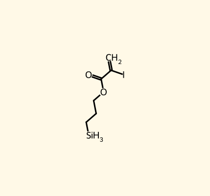 C=C(I)C(=O)OCCC[SiH3]